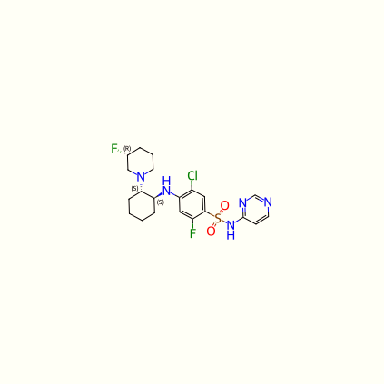 O=S(=O)(Nc1ccncn1)c1cc(Cl)c(N[C@H]2CCCC[C@@H]2N2CCC[C@@H](F)C2)cc1F